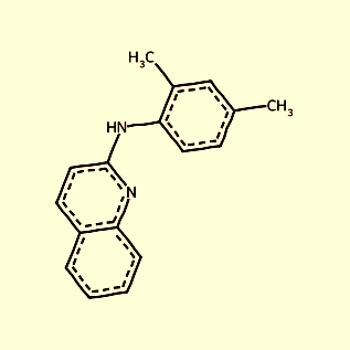 Cc1ccc(Nc2ccc3ccccc3n2)c(C)c1